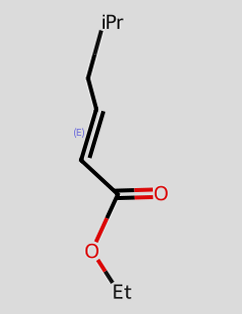 CCOC(=O)/C=C/CC(C)C